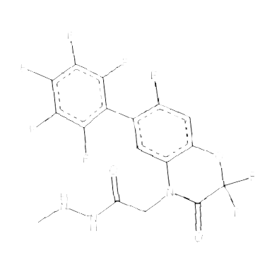 CNNC(=O)CN1C(=O)C(F)(F)Oc2cc(F)c(-c3c(F)c(F)c(F)c(F)c3F)cc21